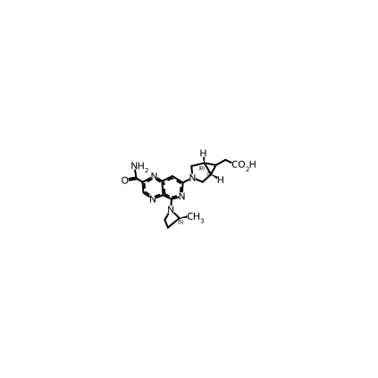 C[C@H]1CCN1c1nc(N2C[C@@H]3C(CC(=O)O)[C@@H]3C2)cc2nc(C(N)=O)cnc12